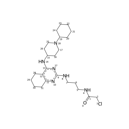 O=C(CCl)NCCCNc1nc2c(c(NC3CCN(C4CCCCC4)CC3)n1)CCCC2